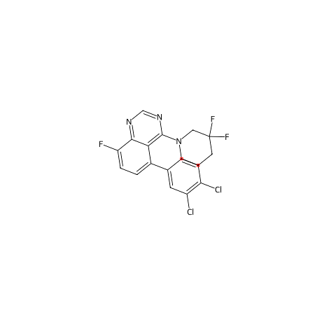 Fc1ccc(-c2ccc(Cl)c(Cl)c2)c2c(N3CCCC(F)(F)C3)ncnc12